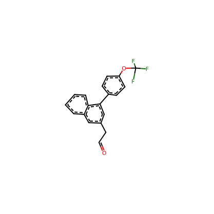 O=CCc1cc(-c2ccc(OC(F)(F)F)cc2)c2ccccc2c1